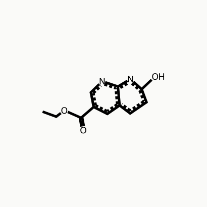 CCOC(=O)c1cnc2nc(O)ccc2c1